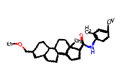 CCOCC1CCC2C(CCC3C2CCC2(C)C(C(=O)Nc4ccc(C#N)cc4C)CCC32)C1